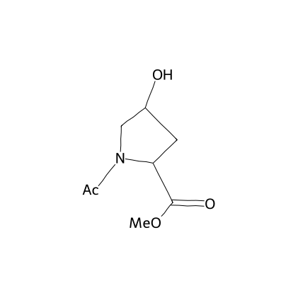 COC(=O)C1CC(O)CN1C(C)=O